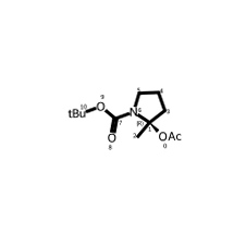 CC(=O)O[C@]1(C)CCCN1C(=O)OC(C)(C)C